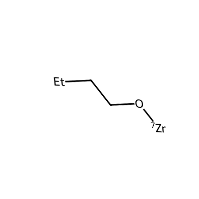 CCCC[O][7Zr]